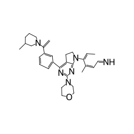 C=C(c1cccc(-c2nc(N3CCOCC3)nc3c2CCN3C(=C/C)/C(C)=C\C=N)c1)N1CCCC(C)C1